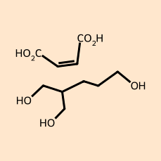 O=C(O)/C=C\C(=O)O.OCCCC(CO)CO